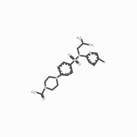 CC(=O)N1CCN(c2ccc(S(=O)(=O)N(CC(C)C)c3ccc(F)cn3)cc2)CC1